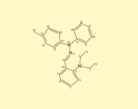 CCN(CC)c1ccccc1/C=N/N(c1ccccc1)c1ccc(C)cc1